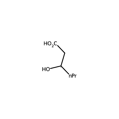 CCC[C](O)CC(=O)O